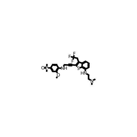 COc1cc(P(C)(C)=O)ccc1NCC#Cc1sc2c(NCCN(C)C)cccc2c1CC(F)(F)F